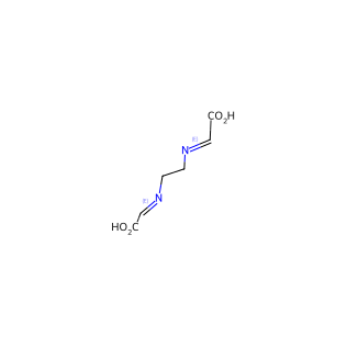 O=C(O)/C=N/CC/N=C/C(=O)O